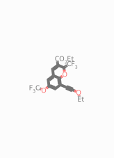 CCOC#Cc1cc(OC(F)(F)F)cc2c1OC(C(F)(F)F)C(C(=O)OCC)=C2